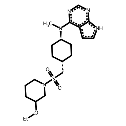 CCOC1CCCN(S(=O)(=O)C[C@H]2CC[C@H](N(C)c3ncnc4[nH]ccc34)CC2)C1